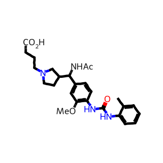 COc1cc(C(NC(C)=O)C2CCN(CCCC(=O)O)C2)ccc1NC(=O)Nc1ccccc1C